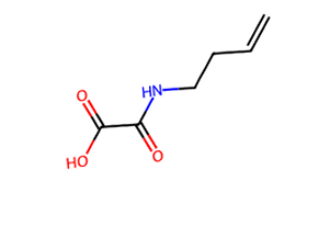 C=CCCNC(=O)C(=O)O